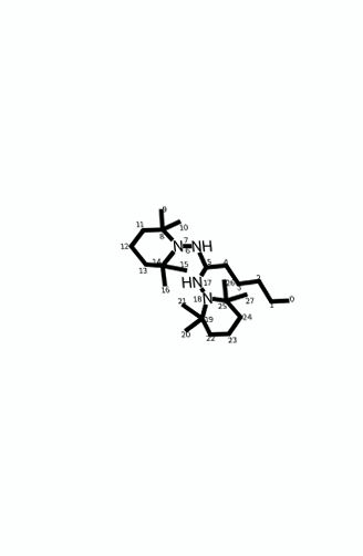 CCCCCC(NN1C(C)(C)CCCC1(C)C)NN1C(C)(C)CCCC1(C)C